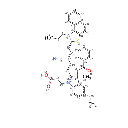 CCCN1/C(=C/C=C(C#N)/C=C/C2=[N+](CCC(=O)O)c3ccc(CC)cc3C2(C)CC(=O)c2ccccc2)Sc2ccc3ccccc3c21